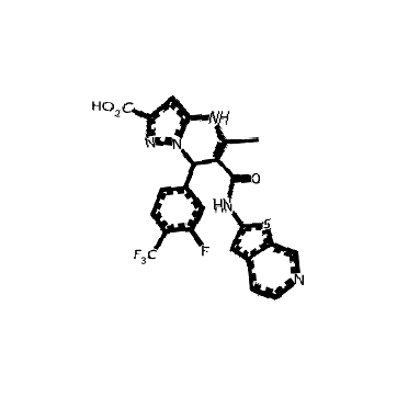 CC1=C(C(=O)Nc2cc3ccncc3s2)C(c2ccc(C(F)(F)F)c(F)c2)n2nc(C(=O)O)cc2N1